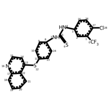 FC(F)(F)c1cc(NC(=S)Nc2ccc(Sc3ccnc4ccccc34)cc2)ccc1Cl